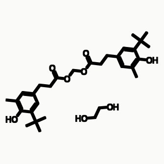 Cc1cc(CCC(=O)OCOC(=O)CCc2cc(C)c(O)c(C(C)(C)C)c2)cc(C(C)(C)C)c1O.OCCO